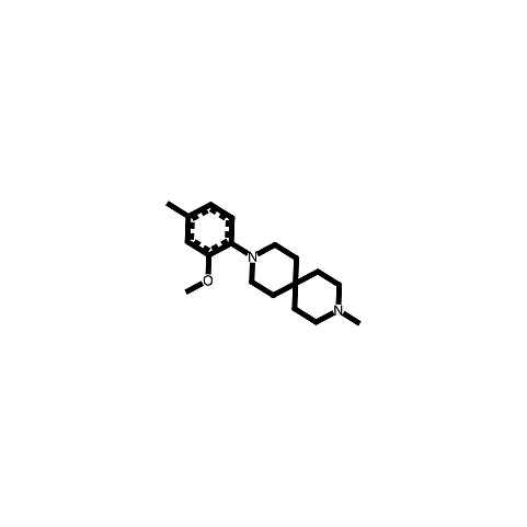 COc1cc(C)ccc1N1CCC2(CCN(C)CC2)CC1